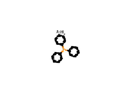 [AsH3].c1ccc(P(c2ccccc2)c2ccccc2)cc1